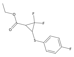 CCOC(=O)C1C(Sc2ccc(F)cc2)C1(F)F